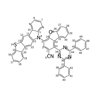 N#Cc1cc(-n2c3ccccc3c3cc4sc5ccccc5c4cc32)c2oc3ccccc3c2c1-c1nc(-c2ccccc2)nc(-c2ccccc2)n1